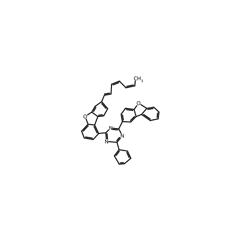 C\C=C/C=C\C=C\c1ccc2c(c1)oc1cccc(-c3nc(-c4ccccc4)nc(-c4ccc5oc6ccccc6c5c4)n3)c12